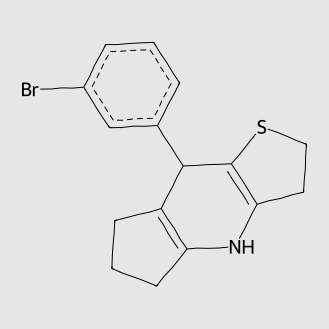 Brc1cccc(C2C3=C(CCC3)NC3=C2SCC3)c1